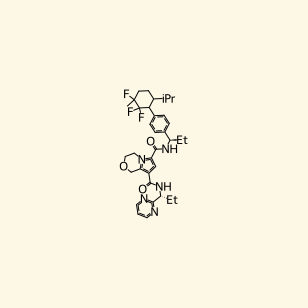 CC[C@@H](NC(=O)c1cc(C(=O)N[C@H](CC)c2ncccn2)c2n1CCOC2)c1ccc(C2C(C(C)C)CCC(C)(F)C2(F)F)cc1